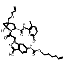 C=CCCCCOC(=O)Nc1ccc2c(C(C)=O)nn(CC(=O)N3[C@H](C(=O)Nc4nc(Br)ccc4C)C[C@@]4(COCC=C)C[C@@H]34)c2c1